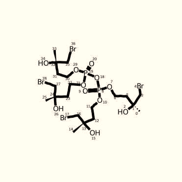 C[C@@](O)(CBr)CCOP(=O)(OCC[C@](C)(O)CBr)OP(=O)(OCC[C@](C)(O)CBr)OCC[C@](C)(O)CBr